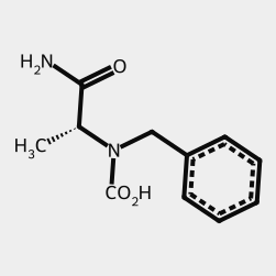 C[C@H](C(N)=O)N(Cc1ccccc1)C(=O)O